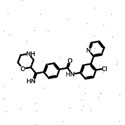 N=C(c1ccc(C(=O)Nc2ccc(Cl)c(-c3ccccn3)c2)cc1)C1CNCCO1